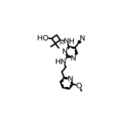 COc1cccc(CCNc2ncc(C#N)c(N[C@@H]3CC(O)C3(C)C)n2)n1